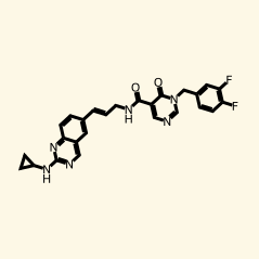 O=C(NCC=Cc1ccc2nc(NC3CC3)ncc2c1)c1cncn(Cc2ccc(F)c(F)c2)c1=O